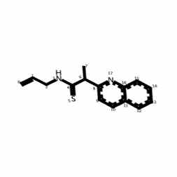 C=CCNC(=S)C(C)c1ccc2ccccc2n1